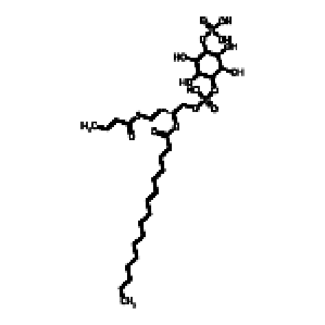 CCCCCCCCCCCCCCCC(=O)O[C@H](CCSC(=O)CCC)COP(=O)(O)OC1C(O)[C@@H](O)C(OP(=O)(O)O)[C@@H](O)[C@H]1O